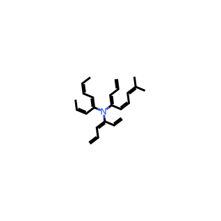 C=C/C=C(\C=C)N(C(/C=C\C=C(C)C)=C/C=C)C(/C=C\C)=C/C=C\C